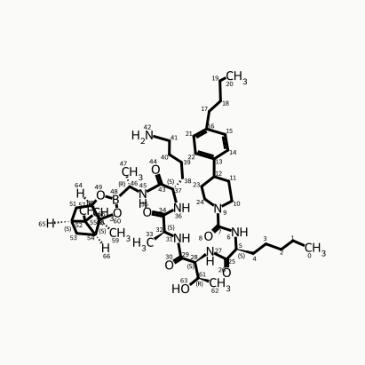 CCCCC[C@H](NC(=O)N1CCC(c2ccc(CCCC)cc2)CC1)C(=O)N[C@H](C(=O)N[C@@H](C)C(=O)N[C@@H](CCCCN)C(=O)N[C@@H](C)B1O[C@@H]2C[C@@H]3C[C@@H](C3(C)C)[C@]2(C)O1)[C@@H](C)O